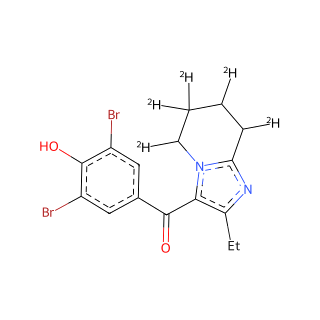 [2H]C1c2nc(CC)c(C(=O)c3cc(Br)c(O)c(Br)c3)n2C([2H])C([2H])([2H])C1[2H]